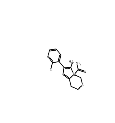 CC1=C(c2cccnc2Cl)C=C2CCSC[N+]21C(N)=O